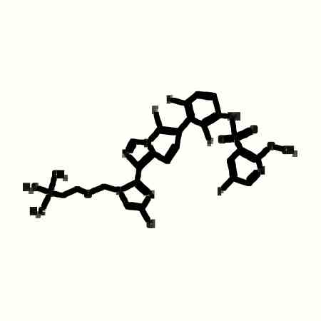 COc1ncc(F)cc1S(=O)(=O)Nc1ccc(F)c(-c2ccc3c(-c4nc(Cl)cn4COCC[Si](C)(C)C)ncn3c2F)c1F